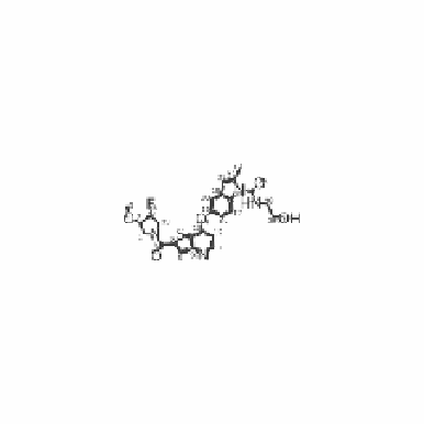 COC1CN(C(=O)c2cc3nccc(Oc4ccc5c(c4)cc(C)n5C(=O)NCCO)c3s2)CC1F